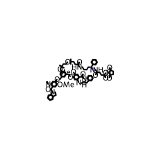 C=Nc1cc(OCc2cc(COc3cc4c(cc3OC)C(=O)N3c5ccccc5C[C@H]3C=N4)cc(OC(C)(C)CCOC(C)(C)CCC(=O)NCCCC/C(=N/NC(=O)CCC(=O)ON3C(=O)CCC3=O)c3ccccc3)c2)c(OC)cc1C(=O)N1CCc2ccccc21